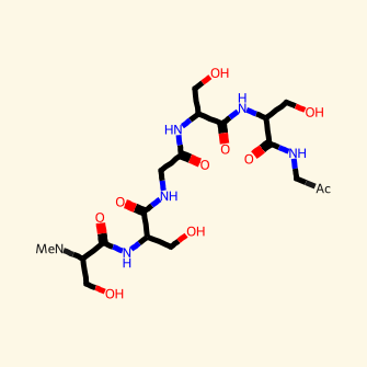 CNC(CO)C(=O)NC(CO)C(=O)NCC(=O)NC(CO)C(=O)NC(CO)C(=O)NCC(C)=O